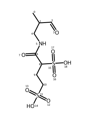 CC(C=O)CNC(=O)C(CCS(=O)(=O)O)S(=O)(=O)O